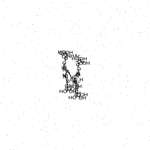 CC(=O)NC1C(OCCOCCn2cc(CN(CCCC[C@H](C(=O)O)N(Cc3cn(CCOCCOC4OC(CO)C(O)C(O)C4C)nn3)Cc3cn(CCOCCOC4OC(CO)C(O)C(O)C4C)nn3)Cc3cn(CCOCCOC4OC(CO)C(O)C(O)C4NC(C)=O)nn3)nn2)OC(CO)C(O)C1O